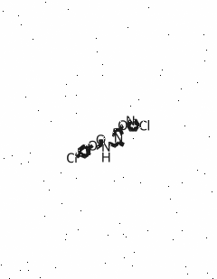 C=C(CCNC(=O)COc1ccc(Cl)cc1)N1CCC(Oc2ccc(Cl)cn2)C1